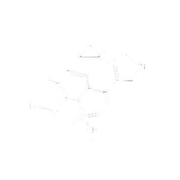 CCOc1c(C)ccc(C(=O)c2cnoc2C2CC2)c1S(C)(=O)=O